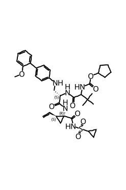 C=C[C@@H]1C[C@]1(NC(=O)[C@H](CNc1ccc(-c2ccccc2OC)cc1)NC(=O)C(NC(=O)OC1CCCC1)C(C)(C)C)C(=O)NS(=O)(=O)C1CC1